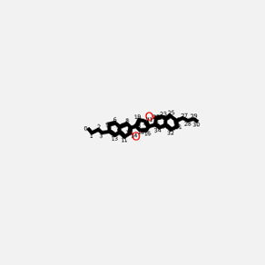 CCCCc1ccc2cc3c(cc2c1)oc1cc2c(cc13)oc1cc3cc(CCCC)ccc3cc12